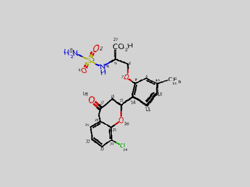 NS(=O)(=O)NC(COc1cc(C(F)(F)F)ccc1C1CC(=O)c2cccc(Cl)c2O1)C(=O)O